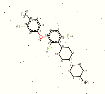 CCC[C@H]1CC[C@H](C2CCC(c3c(F)c[c]c(Oc4ccc(C(F)(F)F)c(F)c4)c3F)CC2)CC1